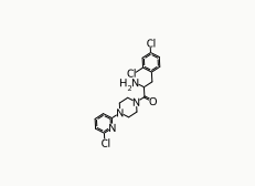 NC(Cc1ccc(Cl)cc1Cl)C(=O)N1CCN(c2cccc(Cl)n2)CC1